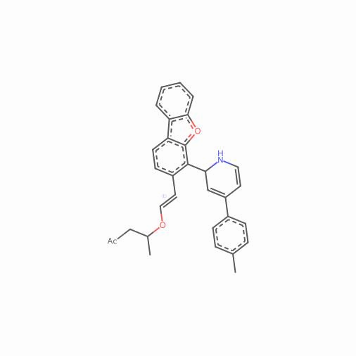 CC(=O)CC(C)O/C=C/c1ccc2c(oc3ccccc32)c1C1C=C(c2ccc(C)cc2)C=CN1